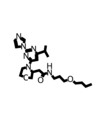 CCCCOCCCNC(=O)CC1CCCCN1c1cc(C(C)C)nc(-n2ccnc2)n1